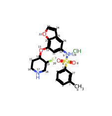 Cc1cccc(S(=O)(=O)Nc2cc(OC3CCNCC3F)c3occc3c2)c1.Cl